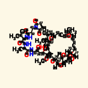 C=C1C[C@@H]2CC[C@@]34C[C@H]5O[C@@H]6C7O[C@H]8CC[C@H](CC(=O)C[C@@H]9[C@@H](OC)[C@@H](C[C@H](O)CNC(=O)[C@@H](C)NC(=O)[C@@H](NC(=O)CCN%10C(=O)C=CC%10=O)C(C)C)O[C@H]9C[C@H]9O[C@@H](CC[C@@H]1O2)C[C@@H](C)C9=C)O[C@@H]8[C@@]6(O3)C4[C@H]75